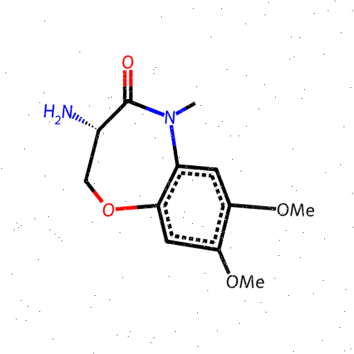 COc1cc2c(cc1OC)N(C)C(=O)[C@@H](N)CO2